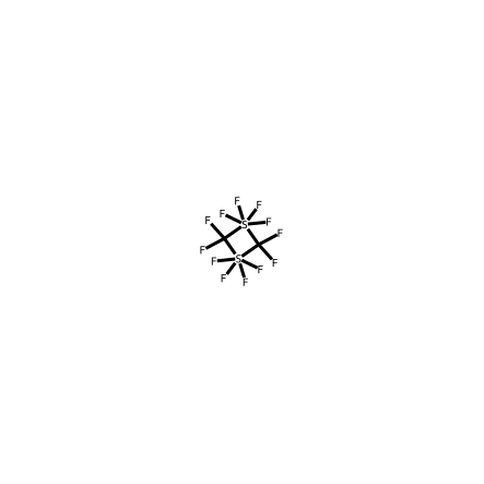 FC1(F)S(F)(F)(F)(F)C(F)(F)S1(F)(F)(F)F